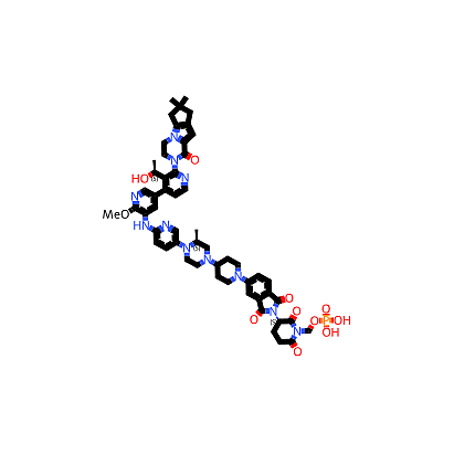 COc1ncc(-c2ccnc(N3CCn4c(cc5c4CC(C)(C)C5)C3=O)c2[C@H](C)O)cc1Nc1ccc(N2CCN(C3CCN(c4ccc5c(c4)C(=O)N([C@H]4CCC(=O)N(COP(=O)(O)O)C4=O)C5=O)CC3)C[C@@H]2C)cn1